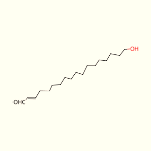 O=[C]C=CCCCCCCCCCCCCCCCO